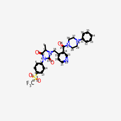 CC1C(=O)N(c2ccc(S(=O)(=O)C(F)(F)F)cc2)C(=O)N1Cc1ccncc1C(=O)N1CCN(c2ccccc2)CC1